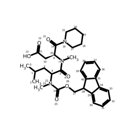 CC(C)CC(C(=O)N(C)[C@@H](CC(=O)O)C(=O)N1CCCCC1)N(C)C(=O)OCC1c2ccccc2-c2ccccc21